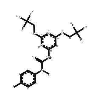 Cc1ccc(N(C)C(=O)Nc2cc(OCC(F)(F)F)nc(OCC(F)(F)F)n2)cc1